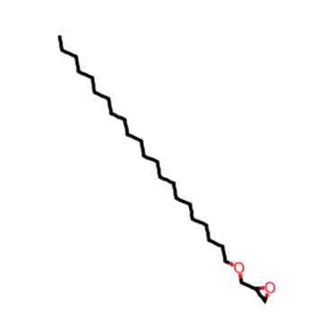 CCCCCCCCCCCCCCCCCCCCCCOCC1CO1